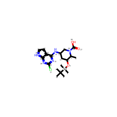 CC1C(O[Si](C)(C)C(C)(C)C)CC(Nc2nc(Cl)nc3[nH]ccc23)CN1C(=O)O